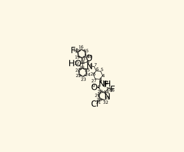 O=C(NC1CCC(CN2C(=O)C(O)(c3cccc(F)c3)c3ccccc32)CC1)c1cc(Cl)cnc1C(F)F